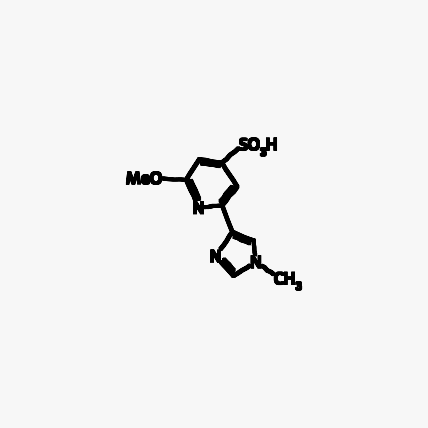 COc1cc(S(=O)(=O)O)cc(-c2cn(C)cn2)n1